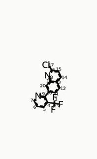 FC(F)(F)c1cccnc1-c1ccc2ccc(Cl)nc2c1